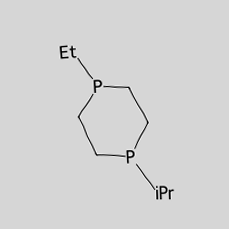 CCP1CCP(C(C)C)CC1